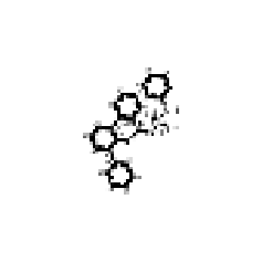 O=C(NS(=O)(=O)Nc1ccccc1)Oc1c(-c2ccccc2)cccc1-c1ccccc1